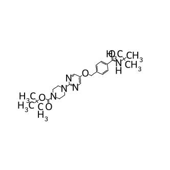 CC(C)(C)NC(=O)c1ccc(COc2cnc(N3CCN(C(=O)OC(C)(C)C)CC3)nc2)cc1